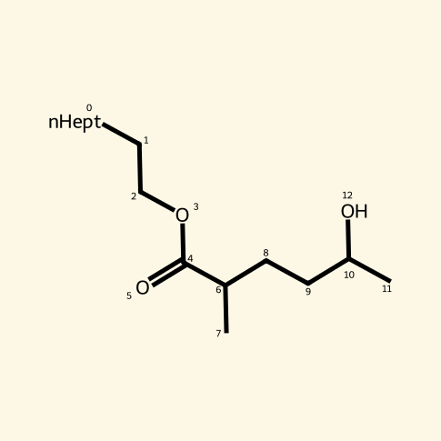 CCCCCCCCCOC(=O)C(C)CCC(C)O